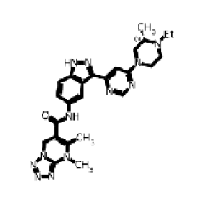 CCN1CCN(c2cc(-c3n[nH]c4ccc(NC(=O)C5=C(C)N(C)c6nnnn6C5)cc34)ncn2)C[C@@H]1C